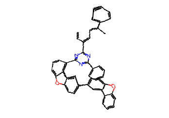 C=C/C(=C\C=C(/C)c1ccccc1)c1nc(-c2ccccc2)nc(-c2cccc3oc4ccc(-c5ccc6oc7ccccc7c6c5)cc4c23)n1